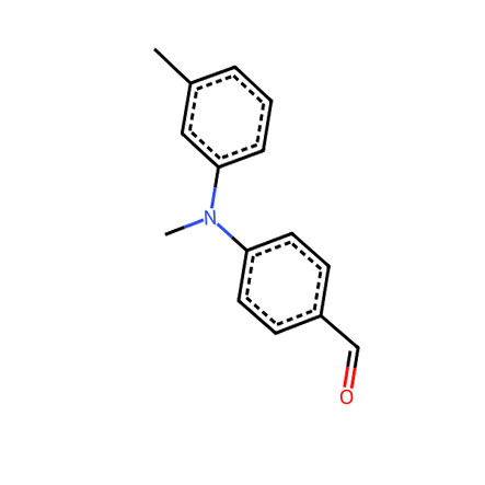 Cc1cccc(N(C)c2ccc(C=O)cc2)c1